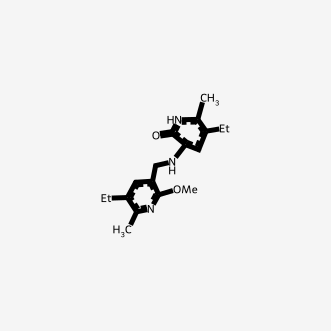 CCc1cc(CNc2cc(CC)c(C)[nH]c2=O)c(OC)nc1C